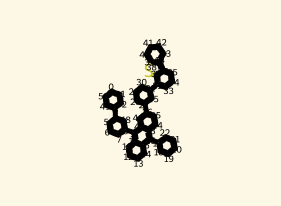 c1ccc(-c2cccc(-c3c4ccccc4c(-c4ccccc4)c4ccc(-c5cccc(-c6cccc7c6sc6ccccc67)c5)cc34)c2)cc1